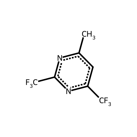 Cc1cc(C(F)(F)F)nc(C(F)(F)F)n1